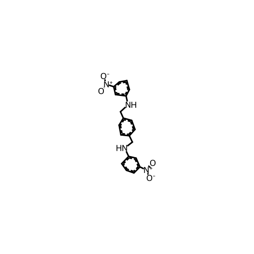 O=[N+]([O-])c1cccc(NCc2ccc(CNc3cccc([N+](=O)[O-])c3)cc2)c1